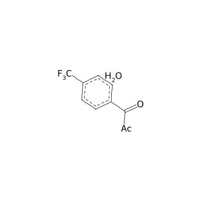 CC(=O)C(=O)c1ccc(C(F)(F)F)cc1.O